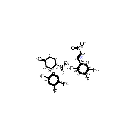 O=C1CC[C@H]([N+](=O)[O-])[C@@H](c2cc(F)c(F)cc2F)C1.O=[N+]([O-])/C=C/c1cc(F)c(F)cc1F